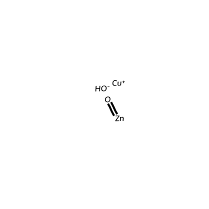 [Cu+].[OH-].[O]=[Zn]